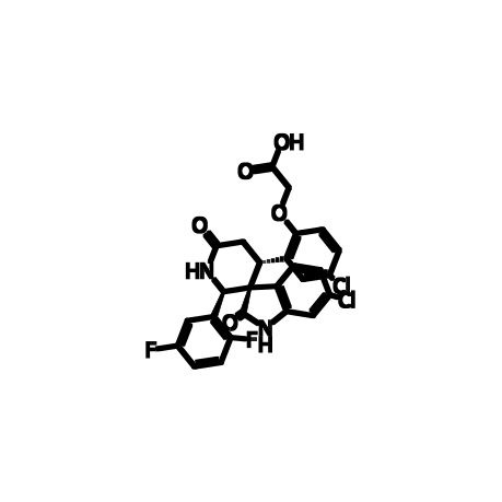 O=C(O)COc1ccc(Cl)cc1[C@H]1CC(=O)N[C@H](c2cc(F)ccc2F)[C@]12C(=O)Nc1cc(Cl)ccc12